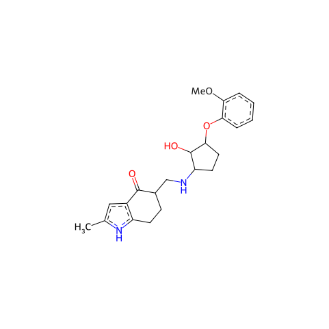 COc1ccccc1OC1CCC(NCC2CCc3[nH]c(C)cc3C2=O)C1O